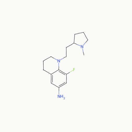 CN1CCCC1CCN1CCCc2cc(N)cc(F)c21